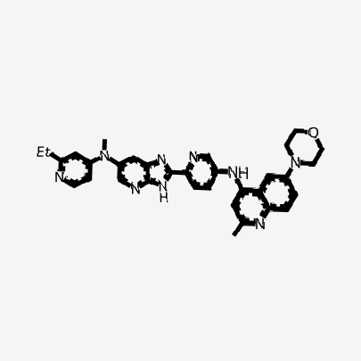 CCc1cc(N(C)c2cnc3[nH]c(-c4ccc(Nc5cc(C)nc6ccc(N7CCOCC7)cc56)cn4)nc3c2)ccn1